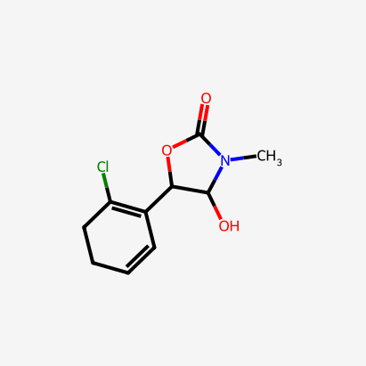 CN1C(=O)OC(C2=C(Cl)CCC=C2)C1O